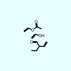 C=CC(C=O)CC.C=CO.C=COC(C)=O